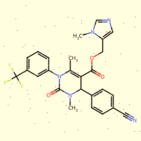 CC1=C(C(=O)OCc2cncn2C)C(c2ccc(C#N)cc2)N(C)C(=O)N1c1cccc(C(F)(F)F)c1